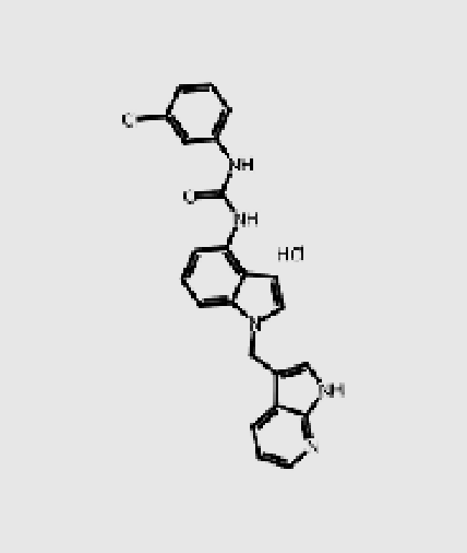 Cl.O=C(Nc1cccc(Cl)c1)Nc1cccc2c1ccn2Cc1c[nH]c2ncccc12